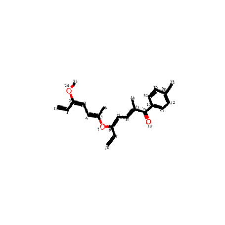 C=C/C(=C\C=C(/C)O/C(C=C)=C/C=C(\C)C(=O)c1ccc(C)cc1)OC